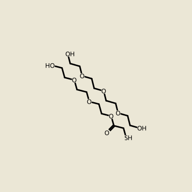 O=C(CS)OCCOCCOCCO.OCCOCCOCCOCCO